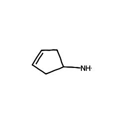 [NH]C1CC=CC1